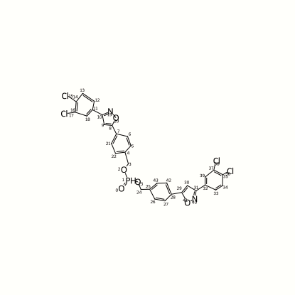 O=[PH](OCc1ccc(-c2cc(-c3ccc(Cl)c(Cl)c3)no2)cc1)OCc1ccc(-c2cc(-c3ccc(Cl)c(Cl)c3)no2)cc1